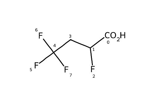 O=C(O)C(F)CC(F)(F)F